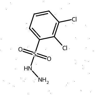 NNS(=O)(=O)c1cccc(Cl)c1Cl